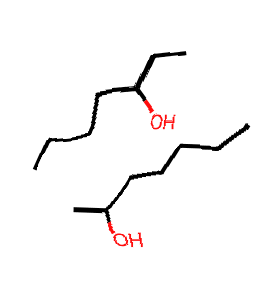 CCCCC(O)CC.CCCCCC(C)O